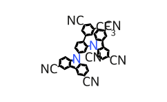 N#Cc1cc(-c2ccc(-n3c4ccc(C#N)cc4c4cc(C#N)ccc43)c(C#N)c2-n2c3ccc(C#N)cc3c3cc(C#N)ccc32)cc(C(F)(F)F)c1